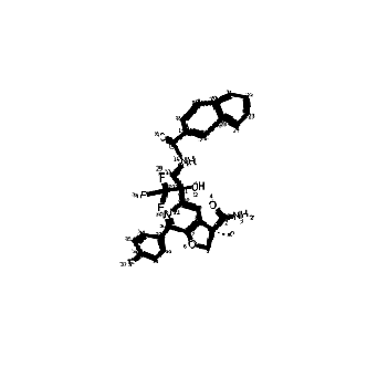 C[C@]1(C(N)=O)COc2c1cc([C@@](O)(CNC(=O)c1ccc3ccccc3c1)C(F)(F)F)nc2-c1ccc(F)cc1